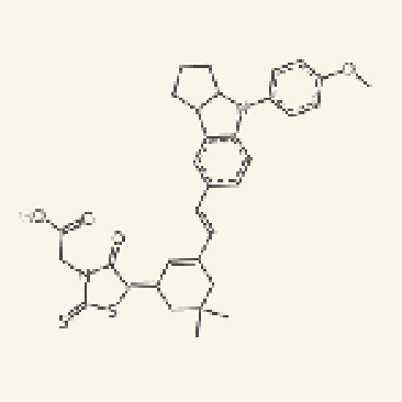 COc1ccc(N2c3ccc(/C=C/C4=CC(=C5/SC(=S)N(CC(=O)O)C5=O)/CC(C)(C)C4)cc3C3CCCC32)cc1